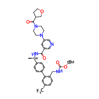 C[C@@H](NC(=O)c1cncc(N2CCN(C(=O)C3CCOC3)CC2)c1)c1ccc(-c2cc(C(F)(F)F)ccc2CNC(=O)OC(C)(C)C)cc1